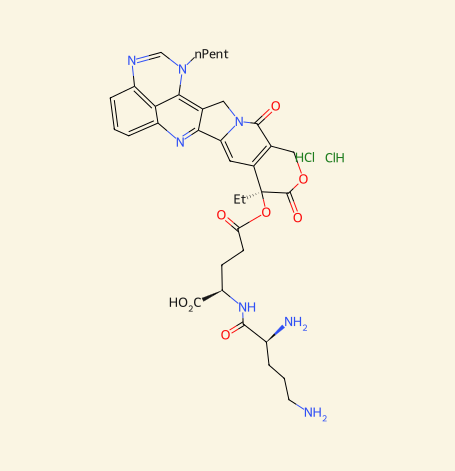 CCCCCN1C=Nc2cccc3nc4c(c1c23)Cn1c-4cc2c(c1=O)COC(=O)[C@@]2(CC)OC(=O)CC[C@@H](NC(=O)[C@@H](N)CCCN)C(=O)O.Cl.Cl